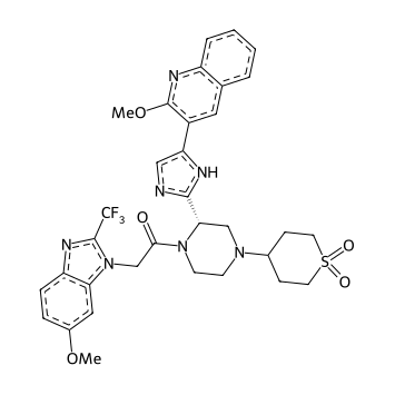 COc1ccc2nc(C(F)(F)F)n(CC(=O)N3CCN(C4CCS(=O)(=O)CC4)C[C@H]3c3ncc(-c4cc5ccccc5nc4OC)[nH]3)c2c1